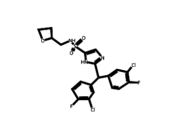 O=S(=O)(NCC1CCO1)c1cnc(C(c2ccc(F)c(Cl)c2)c2ccc(F)c(Cl)c2)[nH]1